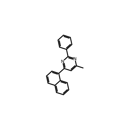 Cc1cc(-c2cccc3ccccc23)nc(-c2ccccc2)n1